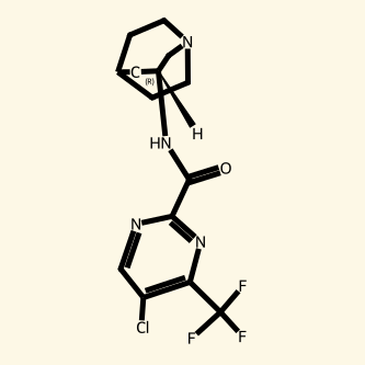 O=C(N[C@@H]1CC2CCN(CC2)C1)c1ncc(Cl)c(C(F)(F)F)n1